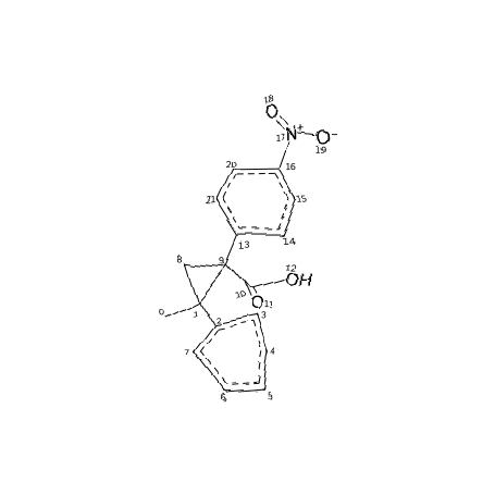 CC1(c2ccccc2)CC1(C(=O)O)c1ccc([N+](=O)[O-])cc1